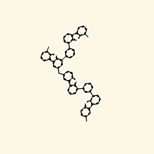 Cc1ccc2oc3c(-c4cccc(-c5cccc6c5oc5ccc(Cc7cc(-c8cccc(-c9cccc%10c9oc9c(C)cccc9%10)c8)c8oc9c(C)cccc9c8c7)cc56)c4)cccc3c2c1